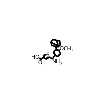 COc1ccc(C(N)c2cc(C(=O)O)cs2)cc1C12CC3CC(CC(C3)C1)C2